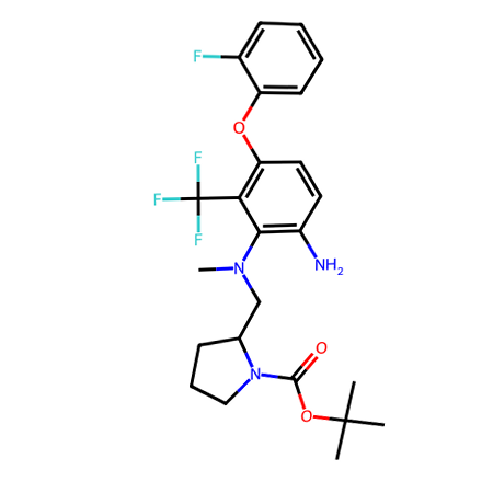 CN(CC1CCCN1C(=O)OC(C)(C)C)c1c(N)ccc(Oc2ccccc2F)c1C(F)(F)F